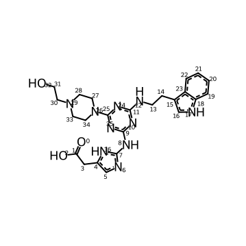 O=C(O)Cc1cnc(Nc2nc(NCCc3c[nH]c4ccccc34)nc(N3CCN(CCO)CC3)n2)[nH]1